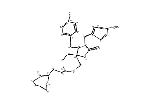 CC(C)COc1ccc(CN2C(=O)OC3(CCN(CCC4OCCCO4)CC3)C2Cc2ccc(F)cc2)cc1